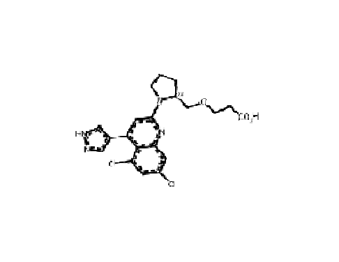 O=C(O)CCOC[C@@H]1CCCN1c1cc(-c2cn[nH]c2)c2c(Cl)cc(Cl)cc2n1